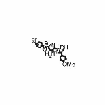 COc1ccc(C(CO)NC(=O)c2ncc(S(=O)(=O)c3ccc(OC(F)(F)F)cc3)cc2N)cc1